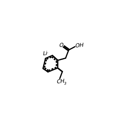 CCc1ccccc1CC(=O)O.[Li]